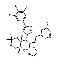 CC1(C)OC[C@H]2O[C@@]3(CCCO3)[C@H](OCc3cncc(F)c3)[C@@H](n3cc(-c4cc(F)c(F)c(F)c4)nn3)[C@H]2O1